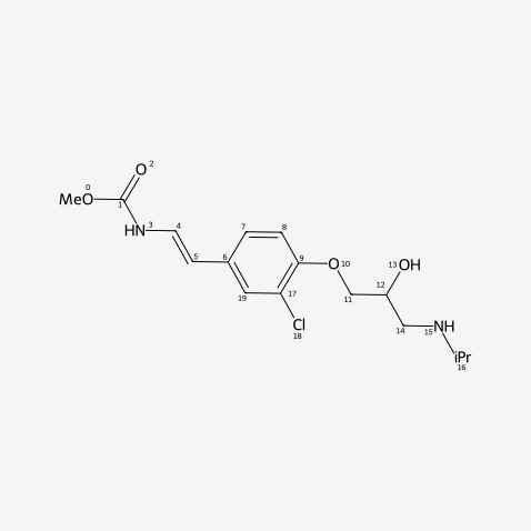 COC(=O)NC=Cc1ccc(OCC(O)CNC(C)C)c(Cl)c1